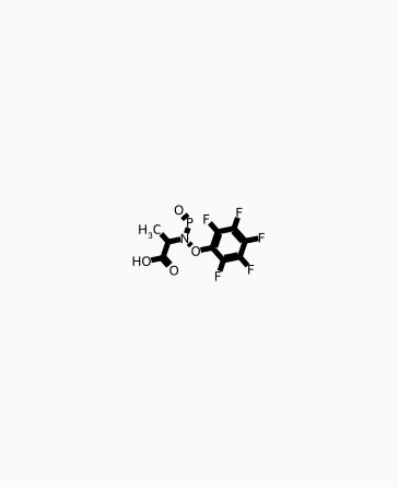 CC(C(=O)O)N(Oc1c(F)c(F)c(F)c(F)c1F)P=O